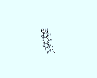 CCC(C)c1ccc2cc3cc(O)ccc3cc2c1